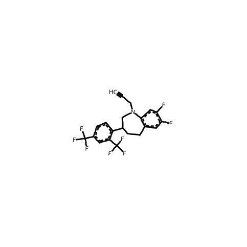 C#CCN1CC(c2ccc(C(F)(F)F)cc2C(F)(F)F)CCc2cc(F)c(F)cc21